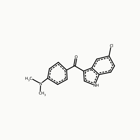 CN(C)c1ccc(C(=O)c2c[nH]c3ccc(Cl)cc23)cc1